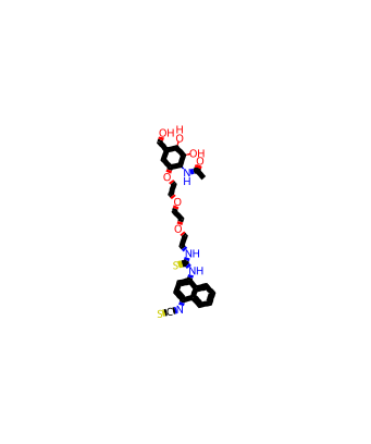 CC(=O)N[C@@H]1C(OCCOCCOCCNC(=S)Nc2ccc(N=C=S)c3ccccc23)CC(CO)[C@H](O)[C@@H]1O